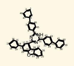 c1ccc(-c2ccc(C3=NC(c4cc(-c5ccccc5)cc5oc6ccccc6c45)=NC(c4ccc(-c5ccccc5)cc4)N3)cc2)cc1